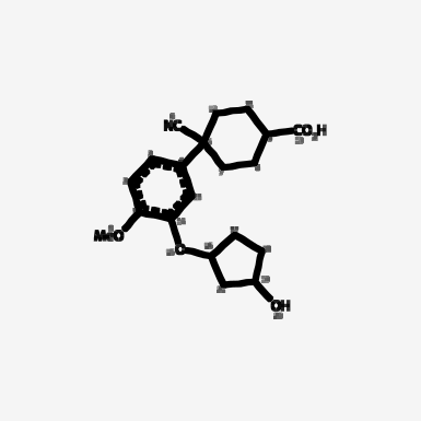 COc1ccc(C2(C#N)CCC(C(=O)O)CC2)cc1OC1CCC(O)C1